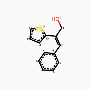 OC/C(=C/c1ccccc1)c1cccs1